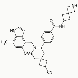 COc1cc(C)c2[nH]ccc2c1CN1CCC2(CC(C#N)C2)CC1c1ccc(C(=O)NC2CC3(CNC3)C2)cc1